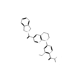 CCc1cc(N2CCCc3cc(C(=O)N4Cc5ccccc5C4)cnc32)ccc1C(=O)C(C)C